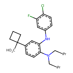 CC(C)CN(CC(C)C)c1ccc(C2(C(=O)O)CCC2)cc1Nc1ccc(Cl)c(F)c1